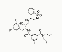 CCCN(CCC)C(=O)c1cc(C)cc(C(=O)NC(Cc2cc(F)cc(F)c2)C(O)CNC2CNS(=O)(=O)c3ccccc32)c1